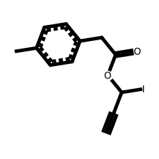 C#CC(I)OC(=O)Cc1ccc(C)cc1